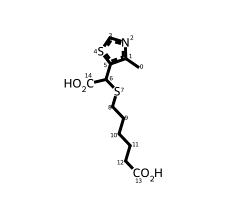 Cc1ncsc1C(SCCCCCC(=O)O)C(=O)O